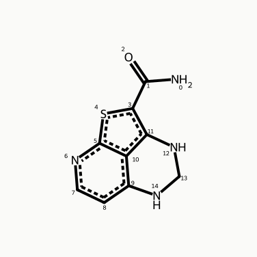 NC(=O)c1sc2nccc3c2c1NCN3